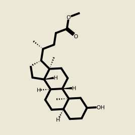 COC(=O)CC[C@@H](C)[C@H]1CC[C@H]2[C@@H]3CC[C@@H]4CCC(O)C[C@]4(C)[C@H]3CC[C@]12C